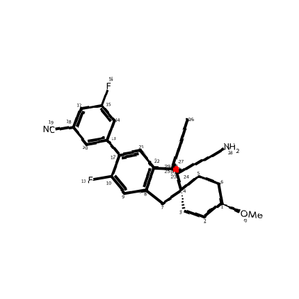 CO[C@H]1CC[C@]2(CC1)Cc1cc(F)c(-c3cc(F)cc(C#N)c3)cc1[C@@]21N=C(C)C(N)=N1